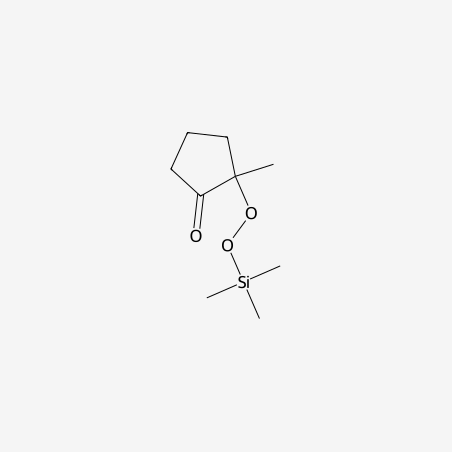 CC1(OO[Si](C)(C)C)CCCC1=O